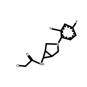 O=C(CCl)NC1C2CN(c3ccc(F)cc3F)CC21